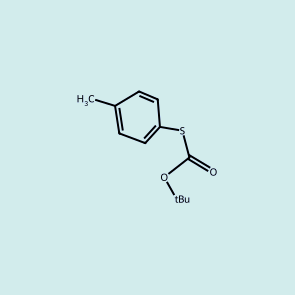 Cc1ccc(SC(=O)OC(C)(C)C)cc1